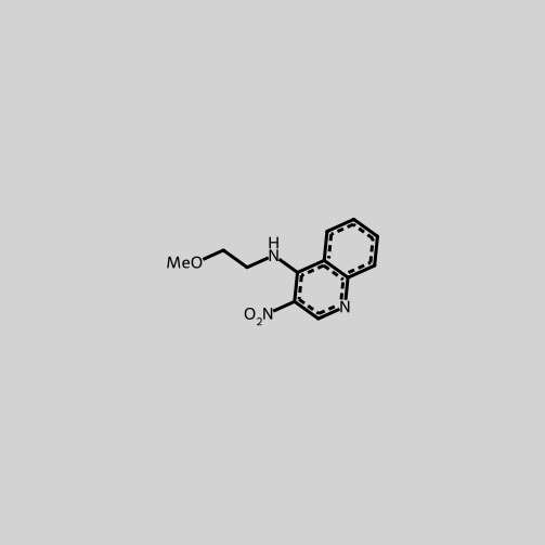 COCCNc1c([N+](=O)[O-])cnc2ccccc12